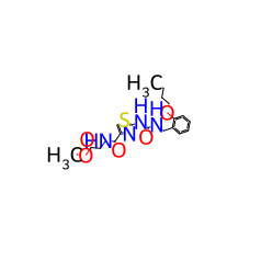 CCCCOc1ccccc1CNC(=O)Nc1nc(C(=O)NCC(=O)OC)cs1